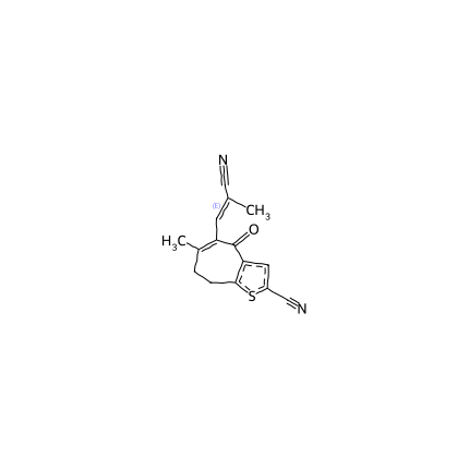 CC1=C(/C=C(\C)C#N)C(=O)c2cc(C#N)sc2CC1